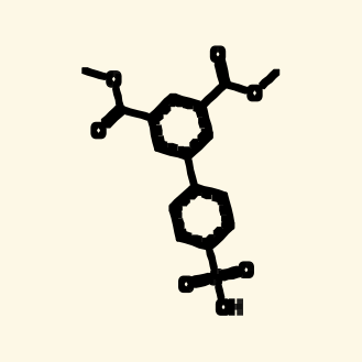 COC(=O)c1cc(C(=O)OC)cc(-c2ccc(S(=O)(=O)O)cc2)c1